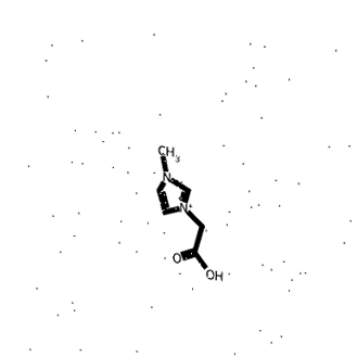 Cn1cc[n+](CC(=O)O)c1